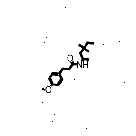 CCC(C)(C)CC(C)NC(=O)CCc1ccc(OC)cc1